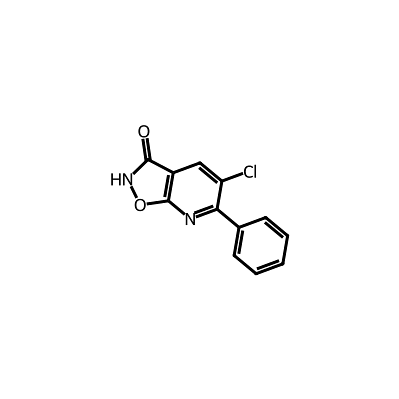 O=c1[nH]oc2nc(-c3ccccc3)c(Cl)cc12